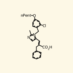 CCCCCOc1ccc(Cn2c(C=C(Cc3ccccc3)C(=O)O)cnc2C)c(Cl)c1